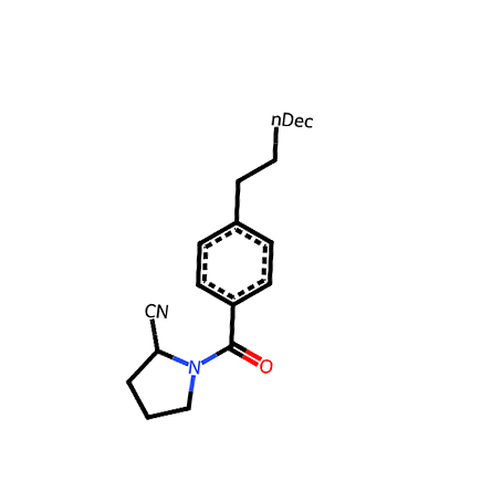 CCCCCCCCCCCCc1ccc(C(=O)N2CCCC2C#N)cc1